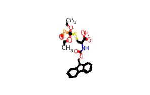 CCOC(OCC)(P=O)SCC(NC(=O)OCC1c2ccccc2-c2ccccc21)C(=O)O